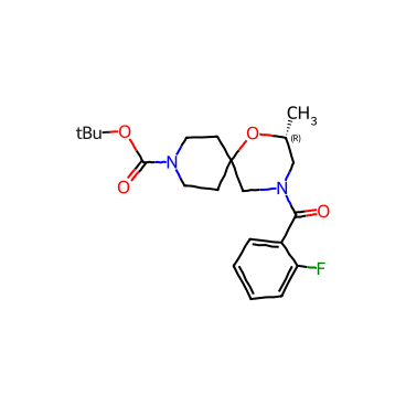 C[C@@H]1CN(C(=O)c2ccccc2F)CC2(CCN(C(=O)OC(C)(C)C)CC2)O1